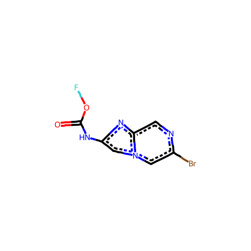 O=C(Nc1cn2cc(Br)ncc2n1)OF